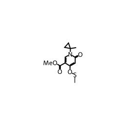 COC(=O)c1cn(C2(C)CC2)c(=O)cc1OSI